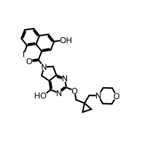 O=C(c1cc(O)cc2cccc(I)c12)N1Cc2nc(OCC3(CN4CCOCC4)CC3)nc(O)c2C1